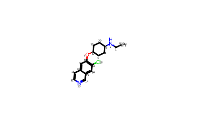 CC(C)CN[C@H]1CC[C@@H](Oc2cc3ccncc3cc2Cl)CC1